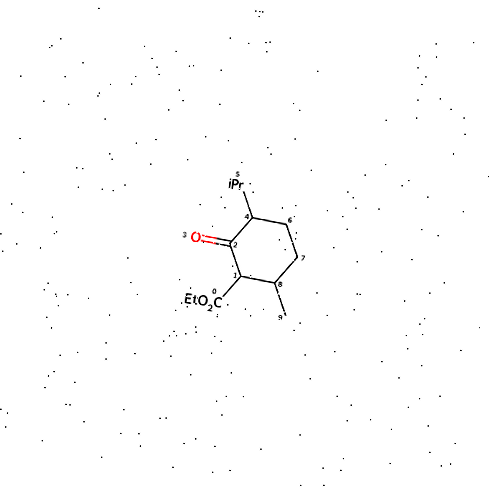 CCOC(=O)C1C(=O)C(C(C)C)CCC1C